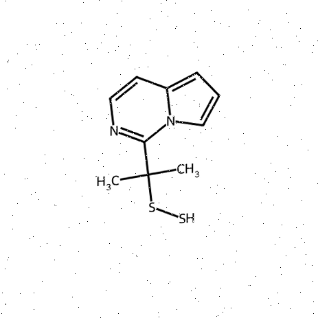 CC(C)(SS)c1nccc2cccn12